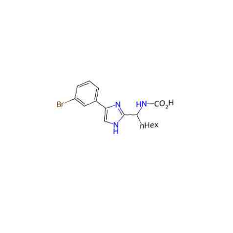 CCCCCCC(NC(=O)O)c1nc(-c2cccc(Br)c2)c[nH]1